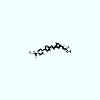 CC(=O)N1CCN(c2ccc(C=Cc3csc(C=CC(=O)O)c3)nc2)CC1